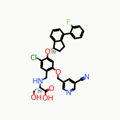 N#Cc1cncc(COc2cc(O[C@H]3CCc4c(-c5ccccc5F)cccc43)c(Cl)cc2CN[C@@H](CO)C(=O)O)c1